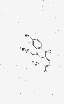 CC(C)c1ccc2c(=O)c3ccc(Cl)c(C(F)(F)F)c3n(CC(=O)O)c2c1